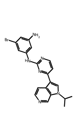 CC(C)n1cc(-c2ccnc(Nc3cc(N)cc(Br)c3)n2)c2ccncc21